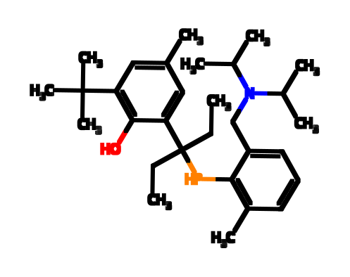 CCC(CC)(Pc1c(C)cccc1CN(C(C)C)C(C)C)c1cc(C)cc(C(C)(C)C)c1O